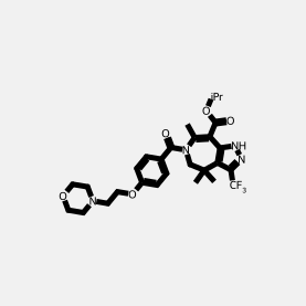 CC1=C(C(=O)OC(C)C)c2[nH]nc(C(F)(F)F)c2C(C)(C)CN1C(=O)c1ccc(OCCN2CCOCC2)cc1